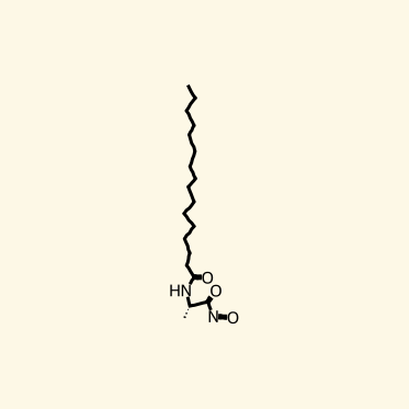 CCCCCCCCCCCCCCCC(=O)N[C@@H](C)C(=O)N=O